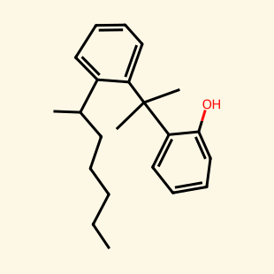 CCCCCC(C)c1ccccc1C(C)(C)c1ccccc1O